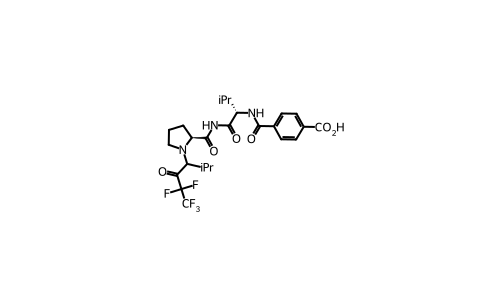 CC(C)C(C(=O)C(F)(F)C(F)(F)F)N1CCC[C@H]1C(=O)NC(=O)[C@@H](NC(=O)c1ccc(C(=O)O)cc1)C(C)C